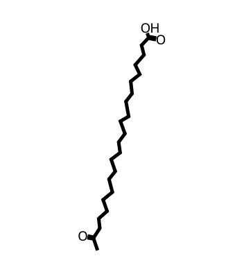 CC(=O)CCCCCCCCCCCCCCCCCCCCC(=O)O